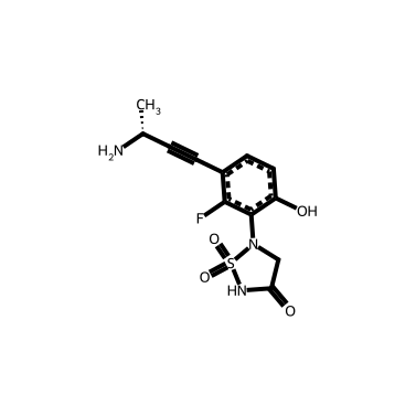 C[C@@H](N)C#Cc1ccc(O)c(N2CC(=O)NS2(=O)=O)c1F